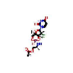 CC(C)C(=O)OC[C@@H](C)N[P@]1(=O)OC[C@H]2O[C@@H](n3ccc(=O)[nH]c3=O)[C@](C)(Cl)[C@@H]2O1